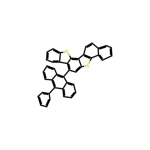 c1ccc(-c2c3ccccc3c(-c3cc4sc5c6ccccc6ccc5c4c4sc5ccccc5c34)c3ccccc23)cc1